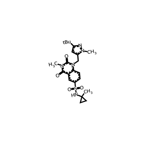 Cn1nc(C(C)(C)C)cc1Cn1c(=O)n(C)c(=O)c2cc(S(=O)(=O)NC3(C)CC3)ccc21